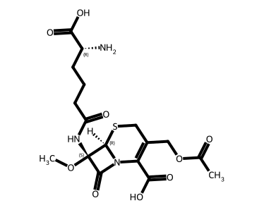 CO[C@@]1(NC(=O)CCC[C@@H](N)C(=O)O)C(=O)N2C(C(=O)O)=C(COC(C)=O)CS[C@@H]21